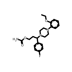 CCOc1ccccc1N1CCN(C(CCOC(N)=O)c2ccc(F)cc2)CC1